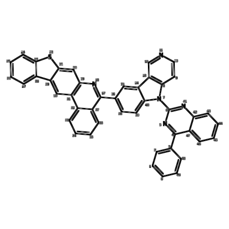 c1ccc(-c2nc(-n3c4ccncc4c4cc(-c5nc6cc7sc8ccccc8c7cc6c6ccccc56)ccc43)nc3ccccc23)cc1